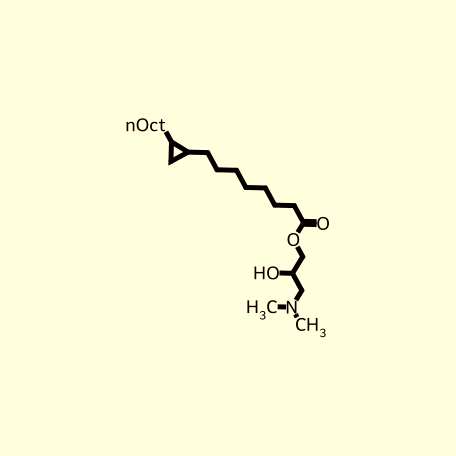 CCCCCCCCC1CC1CCCCCCCC(=O)OCC(O)CN(C)C